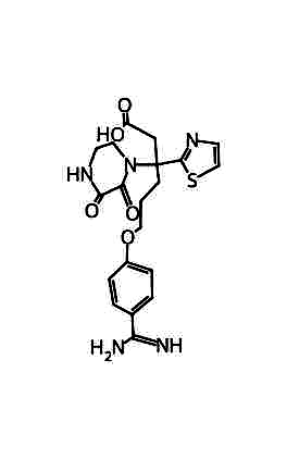 N=C(N)c1ccc(OCCCC(CC(=O)O)(c2nccs2)N2CCNC(=O)C2=O)cc1